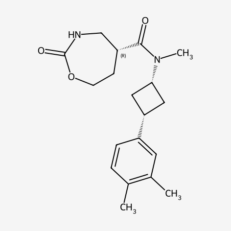 Cc1ccc([C@H]2C[C@@H](N(C)C(=O)[C@@H]3CCOC(=O)NC3)C2)cc1C